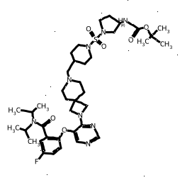 CC(C)N(C(=O)c1cc(F)ccc1Oc1cncnc1N1CC2(CCN(CC3CCN(S(=O)(=O)N4CC[C@@H](NC(=O)OC(C)(C)C)C4)CC3)CC2)C1)C(C)C